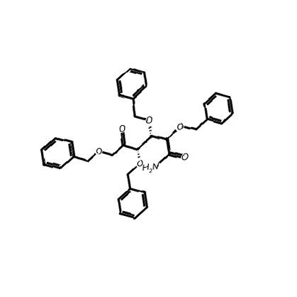 NC(=O)[C@H](OCc1ccccc1)[C@@H](OCc1ccccc1)[C@H](OCc1ccccc1)C(=O)COCc1ccccc1